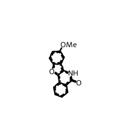 COc1ccc2oc3c4ccccc4c(=O)[nH]c3c2c1